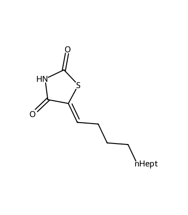 CCCCCCCCCC/C=C1\SC(=O)NC1=O